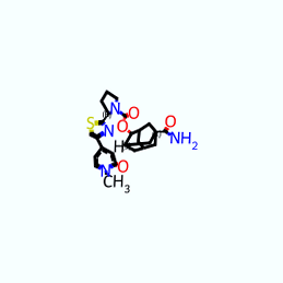 Cn1ccc(-c2csc([C@H]3CCCN3C(=O)OC3C4CC5C[C@H]3C[C@@](C(N)=O)(C5)C4)n2)cc1=O